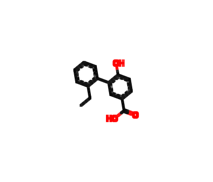 CCc1ccccc1-c1cc(C(=O)O)ccc1O